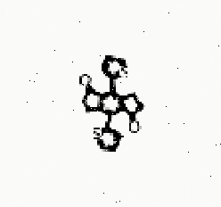 O=C1CCc2c1c(-c1cccs1)c1c(c2-c2cccs2)C(=O)CC1